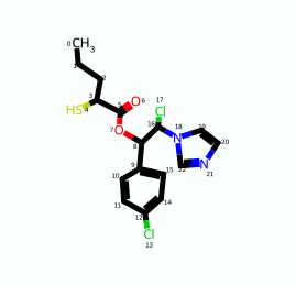 CCCC(S)C(=O)OC(c1ccc(Cl)cc1)C(Cl)n1ccnc1